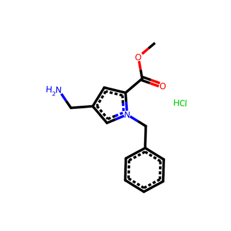 COC(=O)c1cc(CN)cn1Cc1ccccc1.Cl